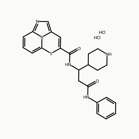 Cl.Cl.O=C(CC(NC(=O)C1=Cc2cnc3cccc(n23)S1)C1CCNCC1)Nc1ccccc1